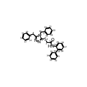 O=C(CSc1nnc(Cc2ccccc2)n1Cc1ccccc1)Nc1ccccc1-c1ccccc1